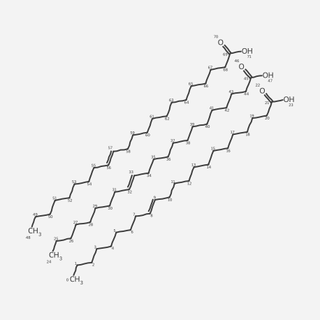 CCCCCCCCC=CCCCCCCCCCCCC(=O)O.CCCCCCCCC=CCCCCCCCCCCCC(=O)O.CCCCCCCCC=CCCCCCCCCCCCC(=O)O